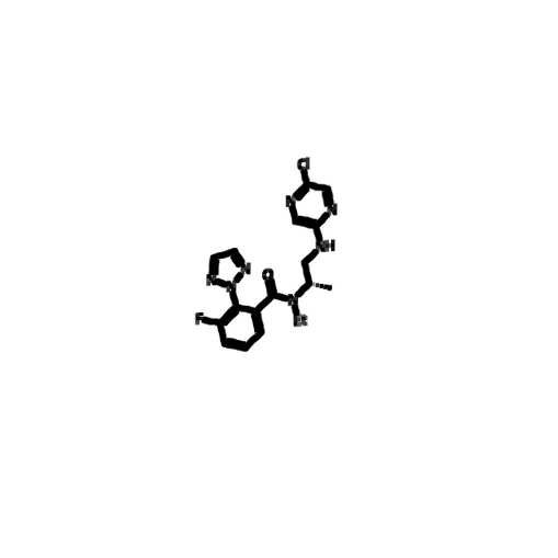 CCN(C(=O)c1cccc(F)c1-n1nccn1)[C@@H](C)CNc1cnc(Cl)cn1